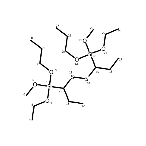 CCCO[Si](OC)(OCC)C(CC)SSC(CC)[Si](OC)(OCC)OCCC